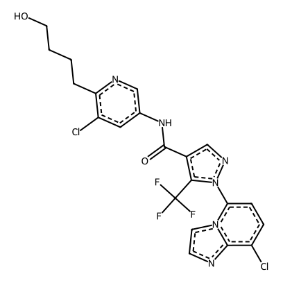 O=C(Nc1cnc(CCCCO)c(Cl)c1)c1cnn(-c2ccc(Cl)c3nccn23)c1C(F)(F)F